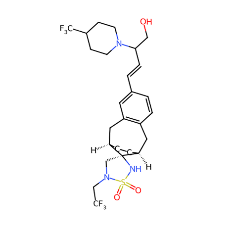 O=S1(=O)N[C@@]2(CN1CC(F)(F)F)[C@@H]1CC[C@H]2Cc2ccc(/C=C/C(CO)N3CCC(C(F)(F)F)CC3)cc2C1